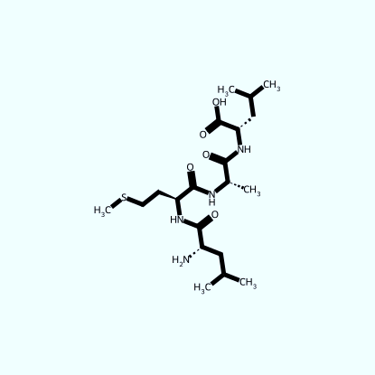 CSCC[C@H](NC(=O)[C@@H](N)CC(C)C)C(=O)N[C@@H](C)C(=O)N[C@@H](CC(C)C)C(=O)O